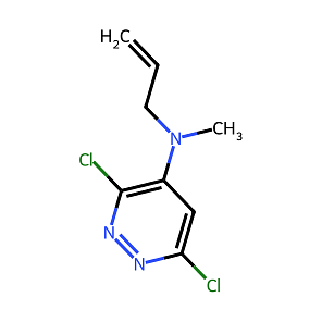 C=CCN(C)c1cc(Cl)nnc1Cl